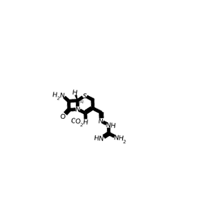 N=C(N)NN=CC1=C(C(=O)O)N2C(=O)C(N)[C@@H]2SC1